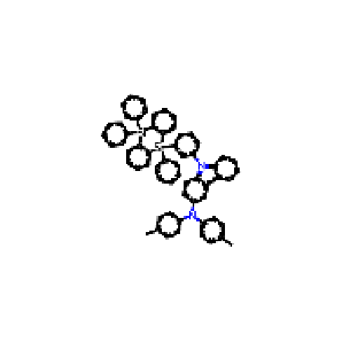 Cc1ccc(N(c2ccc(C)cc2)c2ccc3c(c2)c2ccccc2n3-c2cccc([Si]3(c4ccccc4)c4ccccc4[Si](c4ccccc4)(c4ccccc4)c4ccccc43)c2)cc1